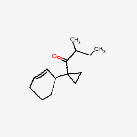 CCC(C)C(=O)C1(C2C=CCCC2)CC1